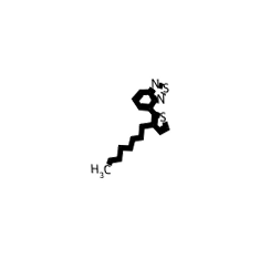 CCCCCCCCc1ccsc1-c1cccc2nsnc12